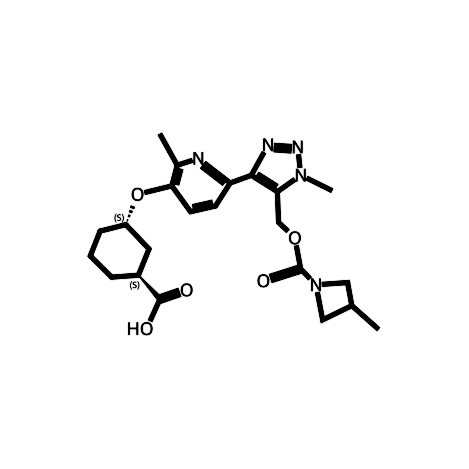 Cc1nc(-c2nnn(C)c2COC(=O)N2CC(C)C2)ccc1O[C@H]1CCC[C@H](C(=O)O)C1